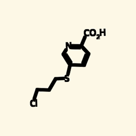 O=C(O)c1ccc(SCCCCl)cn1